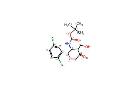 CC(C)(C)OC(=O)N[C@H]1C(CO)C(=O)CO[C@@H]1c1cc(F)ccc1F